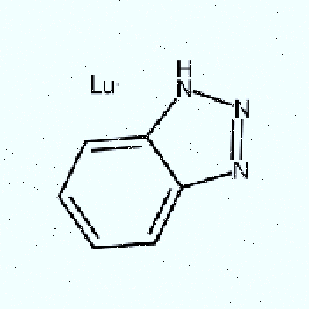 [Lu].c1ccc2[nH]nnc2c1